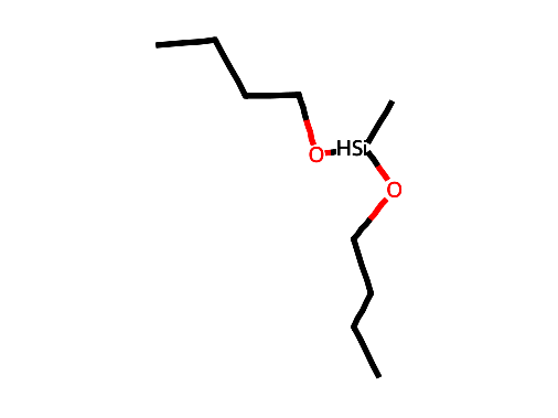 CCCCO[SiH](C)OCCCC